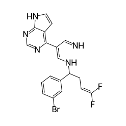 N=C/C(=C\NC(CC=C(F)F)c1cccc(Br)c1)c1ncnc2[nH]ccc12